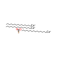 CCCCCCCCCCCCCC[CH2][Ca+].CCCCCCCCCCCCCC[CH2][Ca+].CCCCCCCCCCCCCC[CH2][Ca+].[O-]B([O-])[S-]